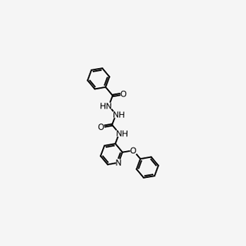 O=C(NNC(=O)c1ccccc1)Nc1cccnc1Oc1ccccc1